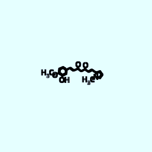 COc1ccc(C=CC(=O)CC(=O)C=Cc2cccn2C)cc1O